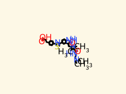 CCN(CC)CCNC(=O)c1c(C)[nH]c(/C=C2\C(=O)Nc3ccc(-c4csc(-c5ccc(CCC(=O)O)cc5)n4)cc32)c1C